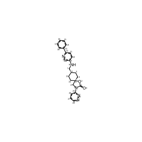 O=C1O[C@]2(CC[C@H](CNc3ccc(-c4ccccc4)nn3)CC2)CN1c1cccnn1